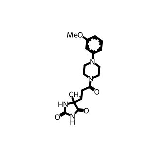 COc1cccc(N2CCN(C(=O)CCC3(C)NC(=O)NC3=O)CC2)c1